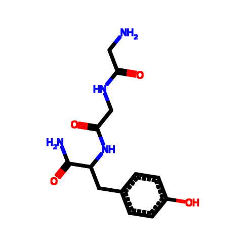 NCC(=O)NCC(=O)NC(Cc1ccc(O)cc1)C(N)=O